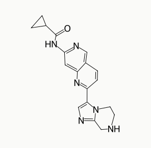 O=C(Nc1cc2nc(-c3cnc4n3CCNC4)ccc2cn1)C1CC1